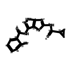 O=C(Nc1n[nH]c2nc(NC(=O)C3CC3)sc12)c1ccccc1Br